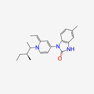 C/C=C1/C=C(n2c(=O)[nH]c3cc(C)ccc32)C=CN1C(C)[C@@H](C)CC